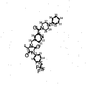 CC1C(=O)N(c2ccc(SC(F)(F)F)cc2)C(=O)N1Cc1ccnc(C(=O)N2CCN(c3ccccc3)CC2)c1